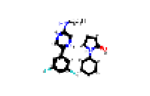 O=C(O)Nc1cnc(-c2cc(F)cc(F)c2)cn1.O=C1CCCN1C1CCCCC1